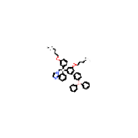 CCCCOc1cccc([Si](Cn2ccnc2)(c2ccccc2)c2cccc(OCCCC)c2)c1.c1ccc(B(c2ccccc2)c2ccccc2)cc1